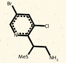 CSC(CN)c1ncc(Br)cc1Cl